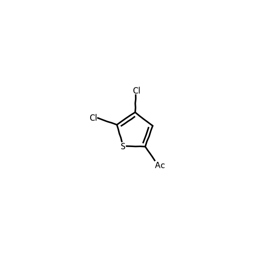 CC(=O)c1cc(Cl)c(Cl)s1